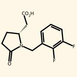 O=C(O)C[C@H]1CCC(=O)N1Cc1cccc(F)c1F